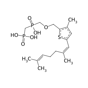 CC(C)=CCCC(C)=Cc1cc(C)c(COCP(=O)(O)CP(=O)(O)O)s1